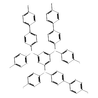 Cc1ccc(-c2ccc(N(c3ccc(C)cc3)c3cc(N(c4ccc(C)cc4)c4ccc(-c5ccc(C)cc5)cc4)cc(N(c4ccc(C)cc4)c4ccc(-c5ccc(C)cc5)cc4)c3)cc2)cc1